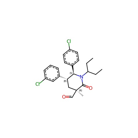 CCC(CC)N1C(=O)[C@@](C)(C=O)C[C@H](c2cccc(Cl)c2)[C@H]1c1ccc(Cl)cc1